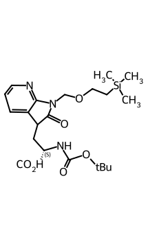 CC(C)(C)OC(=O)N[C@@H](CC1C(=O)N(COCC[Si](C)(C)C)c2ncccc21)C(=O)O